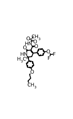 CCCCOc1ccc([C@]2(C)CC(c3ccc(OC(F)F)cc3)=C(C(=O)NS(C)(=O)=O)C(=O)N2)cc1